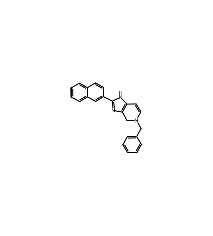 C1=CN(Cc2ccccc2)Cc2nc(-c3ccc4ccccc4c3)[nH]c21